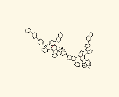 CC1(c2ccccc2)c2ccccc2-c2c(-c3ccccc3N(c3ccc(-c4ccc5ccccc5c4)cc3)c3ccc(-c4ccc5ccc(-c6ccc(C7(C)c8ccccc8-c8c(-c9ccccc9N(c9ccc(-c%10ccc(-c%11ccccc%11)cc%10)cc9)c9ccc(-c%10ccc%11ccccc%11c%10)cc9)cccc87)cc6)cc5c4)cc3)cccc21